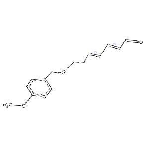 COc1ccc(COCC/C=C/C=C/C=O)cc1